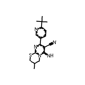 CC1CSc2nc(-c3ccc(C(C)(C)C)nc3)c(C#N)c(=N)n2C1